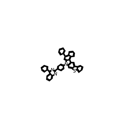 c1ccc(-c2nc(-c3ccc(-n4c5cc6sc7ccccc7c6cc5c5c6ccccc6c(-c6ccccc6)cc54)cc3)nc3ccccc23)cc1